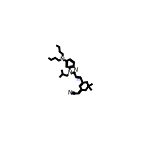 CCCCN(CCCC)c1ccc2nc(/C=C/C3=CC(=CC#N)CC(C)(C)C3)n(CC(C)C)c2c1